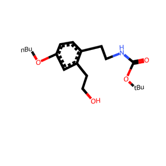 CCCCOc1ccc(CCNC(=O)OC(C)(C)C)c(CCO)c1